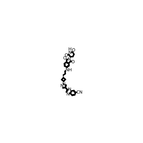 N#Cc1ccc2ncc(-c3cnn([C@H]4C[C@H](CCCNc5ccc6c(c5)C(=O)N(C5CCC(=O)NC5=O)C6=O)C4)c3)nc2c1